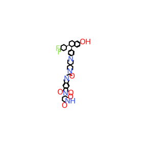 O=C1CC[C@@H](N2C(=O)c3cc4c(cc3C2=O)CN(CC(=O)N2CCC3(CC2)CCN(c2ccc([C@@H]5c6ccc(O)cc6CC[C@@H]5C5CCC(F)(F)CC5)cc2)CC3)C4)C(=O)N1